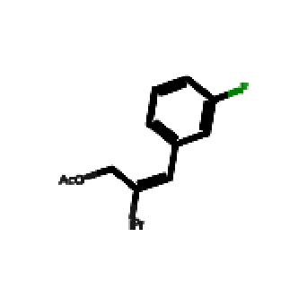 CC(=O)OCC(=Cc1cccc(F)c1)C(C)C